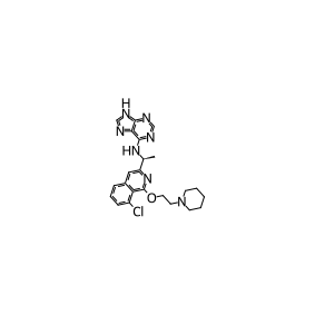 C[C@H](Nc1ncnc2[nH]cnc12)c1cc2cccc(Cl)c2c(OCCN2CCCCC2)n1